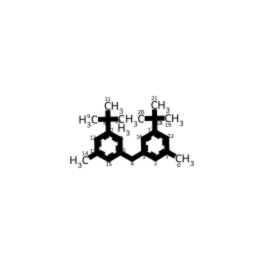 Cc1cc(Cc2[c]c(C(C)(C)C)cc(C)c2)[c]c(C(C)(C)C)c1